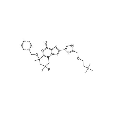 CC1(OCc2ccccc2)CC(F)(F)Cc2c1oc(=O)c1sc(-c3cnn(COCC[Si](C)(C)C)c3)cc21